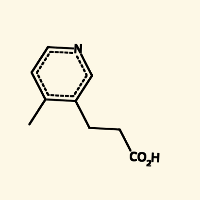 Cc1ccncc1CCC(=O)O